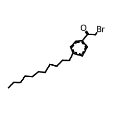 CCCCCCCCCCCc1ccc(C(=O)CBr)cc1